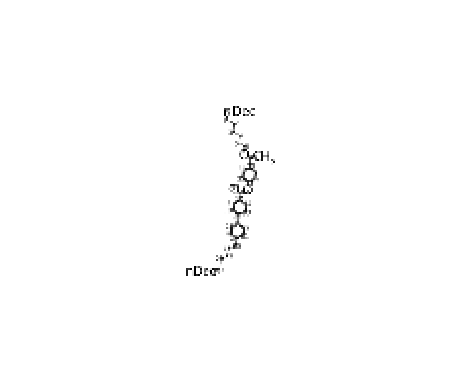 CCCCCCCCCCCCCCCCOC(C)c1ccc(OC(=O)c2ccc(-c3ccc(CCCCCCCCCCCCCCC)cc3)cc2)cc1